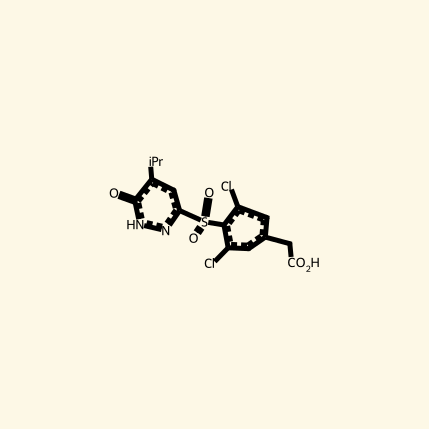 CC(C)c1cc(S(=O)(=O)c2c(Cl)cc(CC(=O)O)cc2Cl)n[nH]c1=O